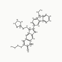 CCCCc1nc2cc3c(cc2[nH]c1=O)nc(-c1ccc2c(c1)c1ccccc1n2CC)n3CCN1CCCC1